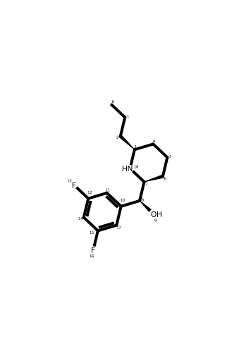 CCC[C@H]1CCC[C@@H]([C@@H](O)c2cc(F)cc(F)c2)N1